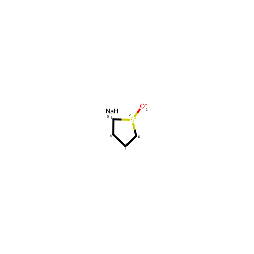 [NaH].[O-][S+]1CCCC1